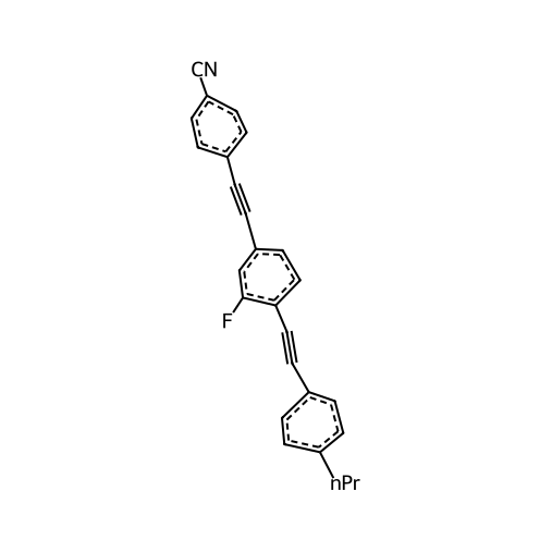 CCCc1ccc(C#Cc2ccc(C#Cc3ccc(C#N)cc3)cc2F)cc1